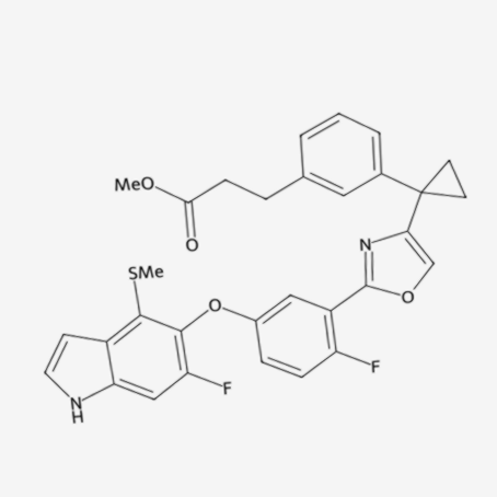 COC(=O)CCc1cccc(C2(c3coc(-c4cc(Oc5c(F)cc6[nH]ccc6c5SC)ccc4F)n3)CC2)c1